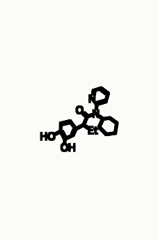 CCC(C(=O)N(c1ccccn1)C1CCCCC1)c1ccc(O)c(O)c1